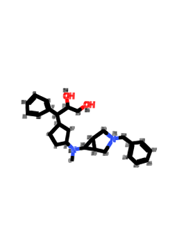 CN(C1CCC(C(c2ccccc2)C(O)CO)C1)C1C2CN(Cc3ccccc3)CC21